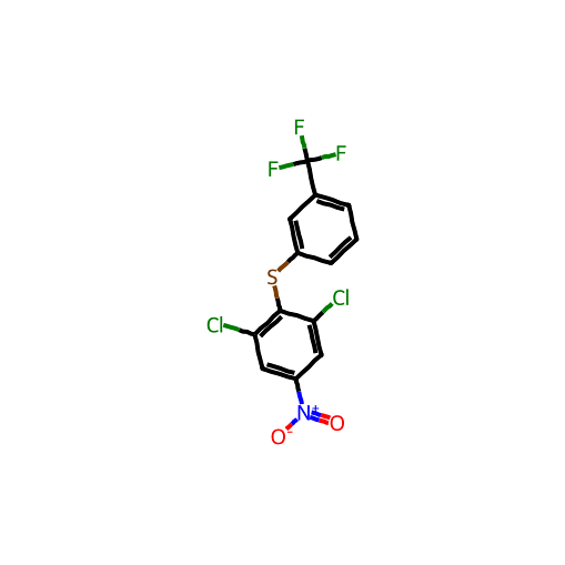 O=[N+]([O-])c1cc(Cl)c(Sc2cccc(C(F)(F)F)c2)c(Cl)c1